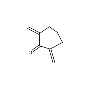 C=C1CCCC(=C)C1=O